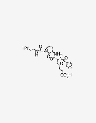 CC(C)CCNC(=O)Cn1cccc(NC(=O)C(CC/C=C/C(=O)O)NS(=O)(=O)c2ccoc2)c1=O